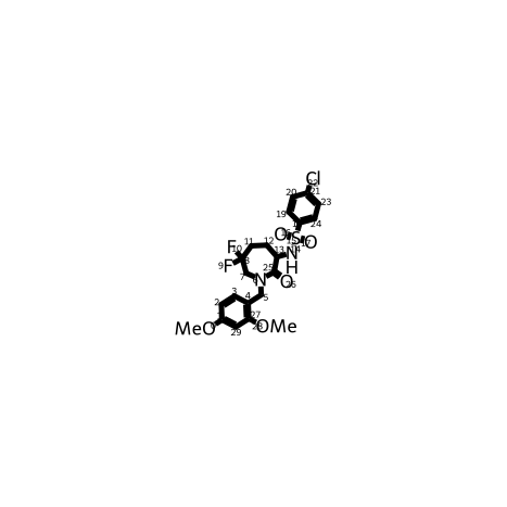 COc1ccc(CN2CC(F)(F)CCC(NS(=O)(=O)c3ccc(Cl)cc3)C2=O)c(OC)c1